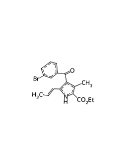 C/C=C/c1[nH]c(C(=O)OCC)c(C)c1C(=O)c1cccc(Br)c1